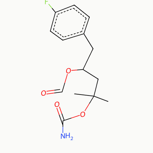 CC(C)(CC(Cc1ccc(F)cc1)OC=O)OC(N)=O